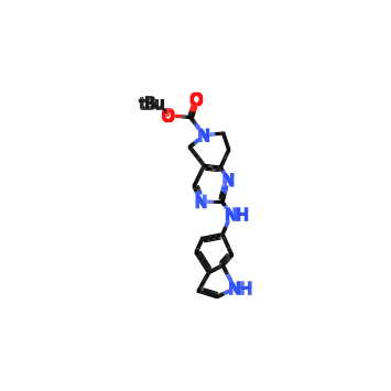 CC(C)(C)OC(=O)N1CCc2nc(Nc3ccc4cc[nH]c4c3)ncc2C1